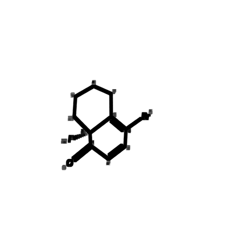 O=C1C=CC(Br)=C2CCCC[C@]12F